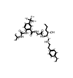 CCC[C@H](O)[C@H](CNCCc1ccc(CC)cc1)NC(=O)CNC(=O)c1cc(C(F)(F)F)ccc1NC(=O)NC(C)C